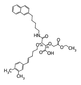 CCOC(=O)CO[C@@H](C(=O)O)[C@@H](OCCCC=Cc1ccc(C)c(C)c1)C(=O)NCCCCCc1ccc2ccccc2c1